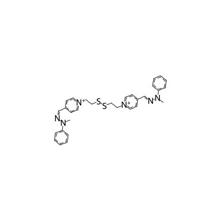 CN(/N=C\c1cc[n+](CCSSCC[n+]2ccc(/C=N/N(C)c3ccccc3)cc2)cc1)c1ccccc1